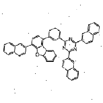 C1=C(c2nc(-c3ccc4ccccc4c3)nc(-c3ccc4ccccc4c3)n2)C=C(c2ccc(-c3ccc4ccccc4c3)c3oc4ccccc4c23)CC1